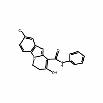 O=C(Nc1ccccc1)C1=C(O)CCn2c1nc1cc(Cl)ccc12